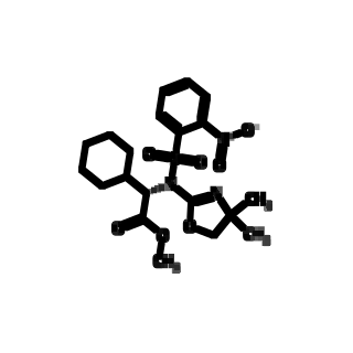 COC(=O)[C@H](C1CCCCC1)N(C1=NC(C)(C)CO1)S(=O)(=O)c1ccccc1[N+](=O)[O-]